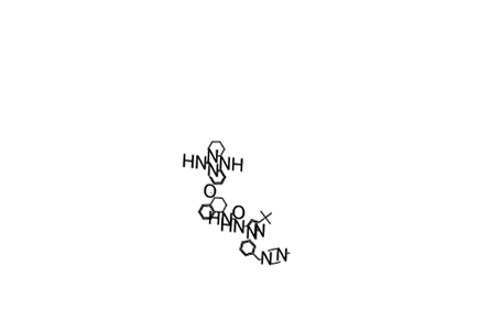 CN1CCN(Cc2cccc(-n3nc(C(C)(C)C)cc3NC(=O)N[C@H]3CC[C@@H](Oc4ccc(=N)n(C(=N)N5CCCCC5)c4)c4ccccc43)c2)CC1